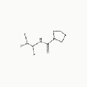 O=C(NC(F)C(F)F)N1CCCC1